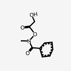 CN(OC(=O)CO)C(=O)c1ccccc1